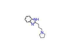 c1ccc2[nH]c(CCCN3CCCC3)nc2c1